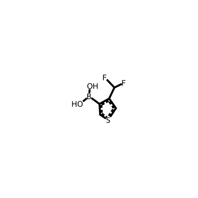 OB(O)c1cscc1C(F)F